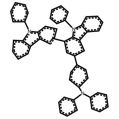 c1ccc(N(c2ccccc2)c2ccc(-c3cc(-c4ccc5c(c4)c4ccccc4n5-c4ccccc4)c4c(c3)c3ccccc3n4-c3ccccc3)cc2)cc1